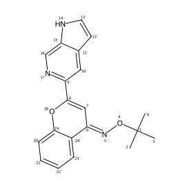 CC(C)(C)ON=c1cc(-c2cc3cc[nH]c3cn2)oc2ccccc12